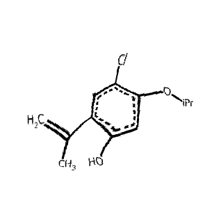 C=C(C)c1cc(Cl)c(OC(C)C)cc1O